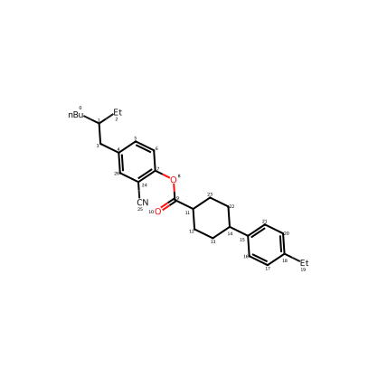 CCCCC(CC)Cc1ccc(OC(=O)C2CCC(c3ccc(CC)cc3)CC2)c(C#N)c1